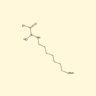 CCCCCCCCCCCCCCCCNN(O)C(=O)CC